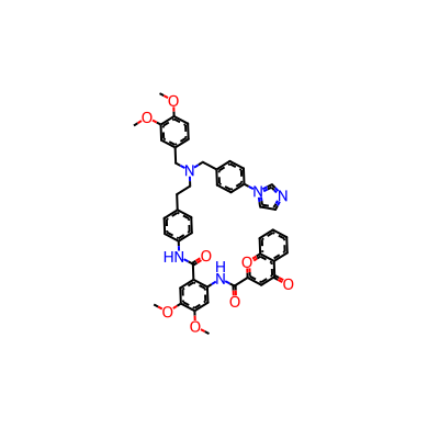 COc1ccc(CN(CCc2ccc(NC(=O)c3cc(OC)c(OC)cc3NC(=O)c3cc(=O)c4ccccc4o3)cc2)Cc2ccc(-n3ccnc3)cc2)cc1OC